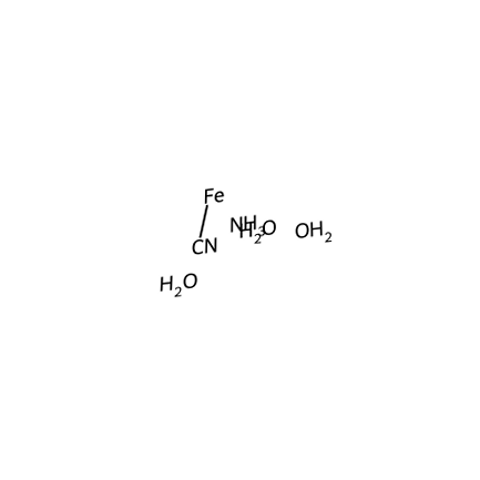 N.N#[C][Fe].O.O.O